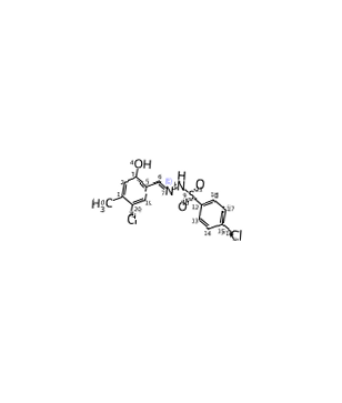 Cc1cc(O)c(/C=N/NS(=O)(=O)c2ccc(Cl)cc2)cc1Cl